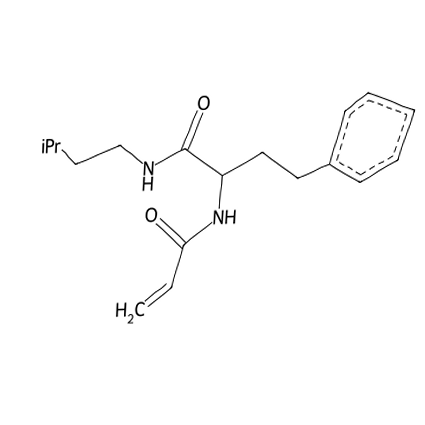 C=CC(=O)NC(CCc1ccccc1)C(=O)NCCC(C)C